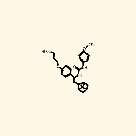 CC1(C)C2CCC(CC(NC(=O)Nc3ccc(OC(F)(F)F)cc3)c3ccc(OCCCC(=O)O)cc3)C1C2